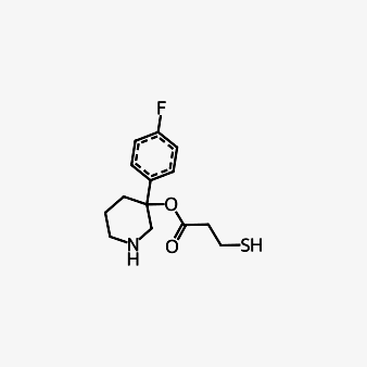 O=C(CCS)OC1(c2ccc(F)cc2)CCCNC1